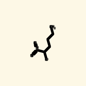 CCCCC([O])[SH](=O)=O